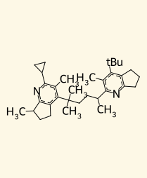 Cc1c(C(C)CCC(C)(C)c2c(C)c(C3CC3)nc3c2CCC3C)nc2c(c1C(C)(C)C)CCC2